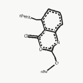 CCCCCc1cccc2nc(OCCCC)oc(=O)c12